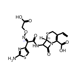 C=CC1=C(C(=O)O)N2C(=O)C(NC(=O)/C(=N\OCC(=O)O)c3csc(N)n3)[C@@H]2SC1